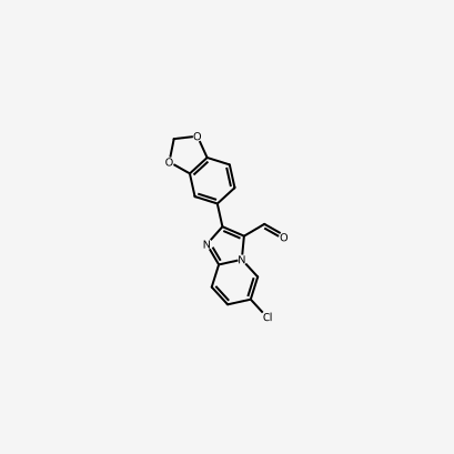 O=Cc1c(-c2ccc3c(c2)OCO3)nc2ccc(Cl)cn12